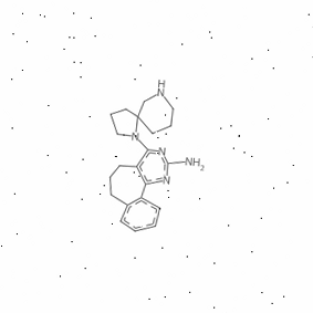 Nc1nc2c(c(N3CCCC34CCCNC4)n1)CCCc1ccccc1-2